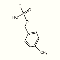 Cc1ccc(COP(=O)(O)O)cc1